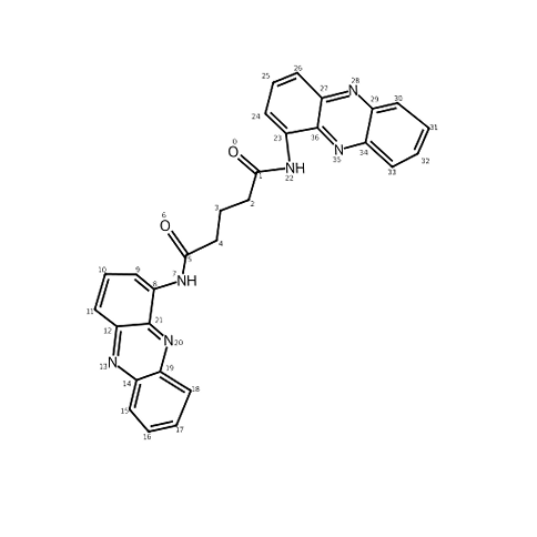 O=C(CCCC(=O)Nc1cccc2nc3ccccc3nc12)Nc1cccc2nc3ccccc3nc12